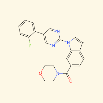 O=C(c1ccc2[c]cn(-c3ncc(-c4ccccc4F)cn3)c2c1)N1CCOCC1